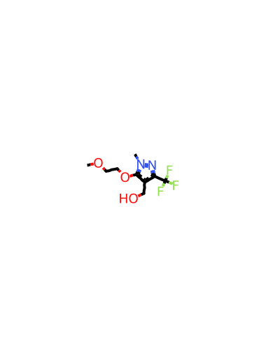 COCCOc1c(CO)c(C(F)(F)F)nn1C